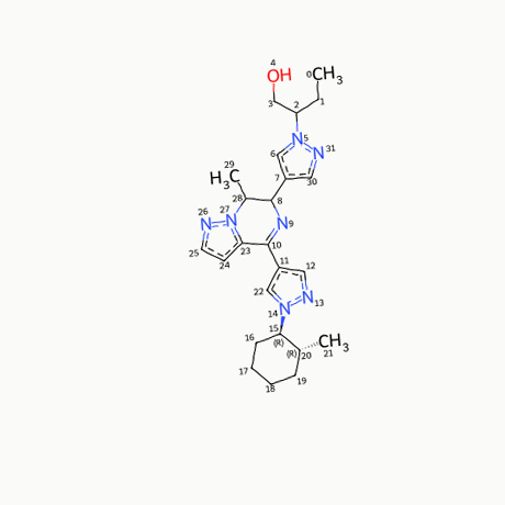 CCC(CO)n1cc(C2N=C(c3cnn([C@@H]4CCCC[C@H]4C)c3)c3ccnn3C2C)cn1